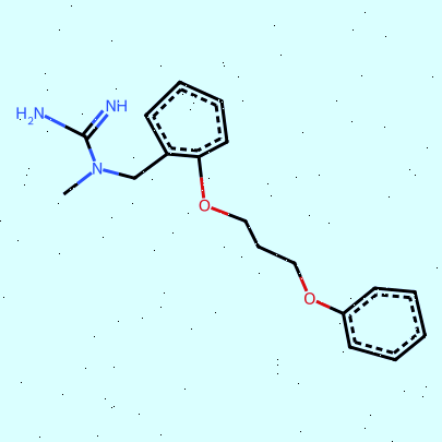 CN(Cc1ccccc1OCCCOc1ccccc1)C(=N)N